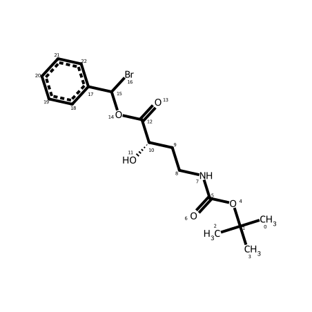 CC(C)(C)OC(=O)NCC[C@H](O)C(=O)OC(Br)c1ccccc1